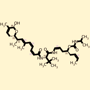 C/C=C\C[C@@H](C/C=C\NC(=O)[C@@H](NC(=O)\C=C/C=C\C(C)=C\[C@H](C)[C@@H]1CC=C(C)[C@H](O)O1)C(C)(C)C)OC(=O)NC(C)C